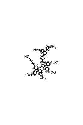 C#CC#CC#Cc1ccc(C2(c3ccc(CCCCCCCC)cc3)c3cc4c(cc3-c3sc(C)cc32)C(c2ccc(CCCCCCCC)cc2)(c2ccc(CCCCCCCC)cc2)c2cc(-c3ccc(-c5ccc(-c6ccc(C)s6)c6nn(CCCCCC)nc56)s3)sc2-4)cc1